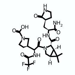 CC1(C)[C@@H]2[C@@H](C(=O)N[C@@H](C[C@@H]3CCNC3=O)C(N)=O)N(C(=O)[C@@H](NC(=O)C(F)(F)F)[C@H]3CCN(C(=O)O)C3)C[C@@H]21